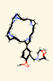 COc1ccc(-c2cc3cc4nc(cc5ccc(cc6nc(cc2[nH]3)C=C6)[nH]5)CC4)cc1CN1CCOCC1